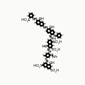 CCCOc1cc(N=Nc2cc(S(=O)(=O)O)cc3cc(S(=O)(=O)O)cc(O)c23)c(C)cc1N=Nc1c(S(=O)(=O)O)cc2c(S(=O)(=O)O)c(N=Nc3c(Nc4ccccc4)ccc4c(O)c(N=Nc5ccc6c(O)c(N=Nc7ccccc7C(=O)O)ccc6c5)ccc34)ccc2c1O